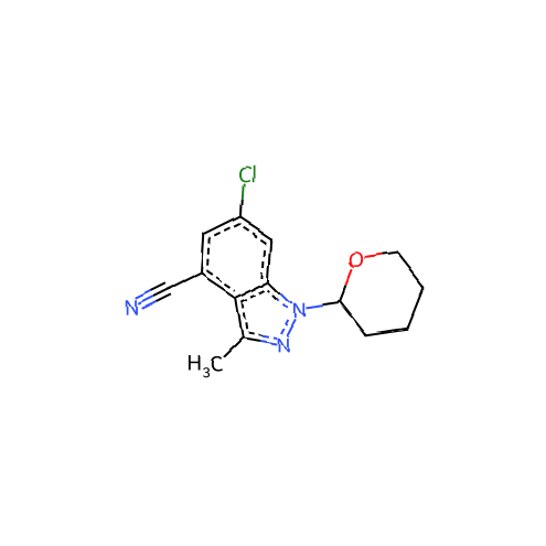 Cc1nn(C2CCCCO2)c2cc(Cl)cc(C#N)c12